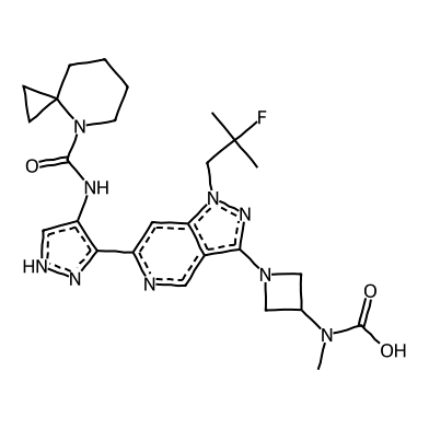 CN(C(=O)O)C1CN(c2nn(CC(C)(C)F)c3cc(-c4n[nH]cc4NC(=O)N4CCCCC45CC5)ncc23)C1